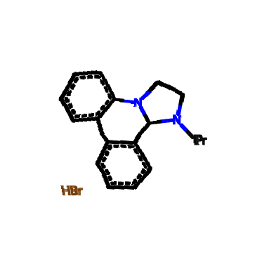 Br.CC(C)N1CCN2c3ccccc3-c3ccccc3C21